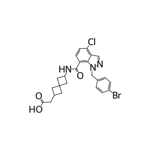 O=C(O)CC1CC2(C1)CC(NC(=O)c1ccc(Cl)c3cnn(Cc4ccc(Br)cc4)c13)C2